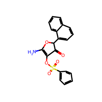 NC1=C(OS(=O)(=O)c2ccccc2)C(=O)C(c2cccc3ccccc23)O1